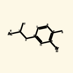 CC(=O)C(C)Cc1ccc(C)c(Br)c1